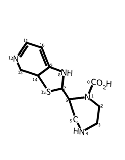 O=C(O)N1CCNCC1C1NC2=CC=NCC2S1